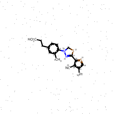 Cc1cc(CCC(=O)O)ccc1N1CSC(c2scc(C(C)C)c2C#N)=N1